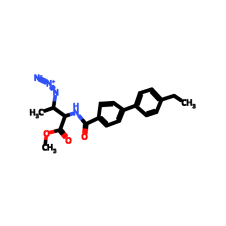 CCc1ccc(-c2ccc(C(=O)NC(C(=O)OC)C(C)N=[N+]=[N-])cc2)cc1